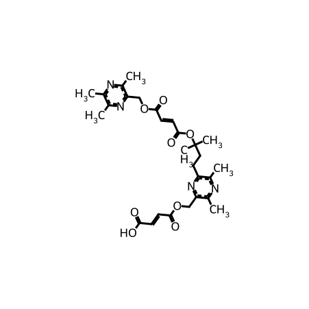 Cc1nc(C)c(COC(=O)/C=C/C(=O)OC(C)(C)CCc2nc(COC(=O)/C=C/C(=O)O)c(C)nc2C)nc1C